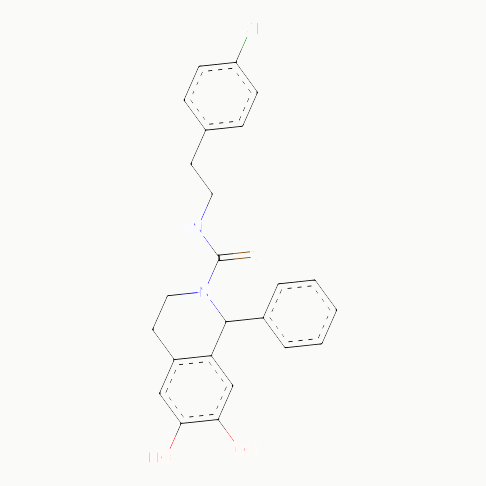 Oc1cc2c(cc1O)C(c1ccccc1)N(C(=S)NCCc1ccc(Cl)cc1)CC2